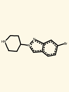 Brc1ccc2cn(C3CCNCC3)nc2c1